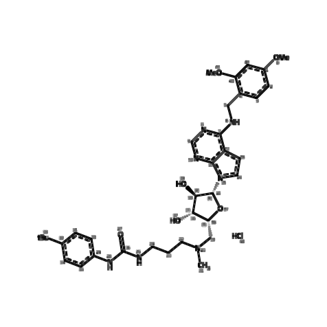 COc1ccc(CNc2ncnc3c2ccn3[C@@H]2O[C@H](CN(C)CCCNC(=O)Nc3ccc(C(C)(C)C)cc3)[C@H](O)[C@H]2O)c(OC)c1.Cl